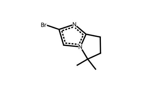 CC1(C)CCc2nc(Br)cn21